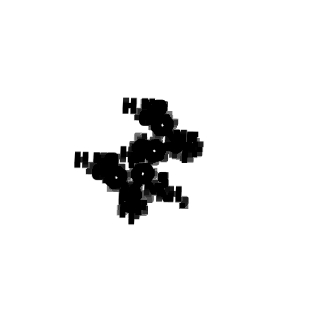 CN(C(N)=S)c1ccc(F)cc1-c1cc(C(F)(F)F)nn1-c1ccc(S(N)(=O)=O)cc1.NS(=O)(=O)c1ccc(-n2nc(C(F)(F)F)cc2-c2ccc3[nH]ccc3c2)cc1